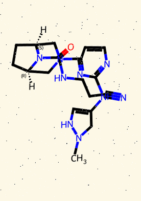 CN1CC(Nc2nccc(N3C[C@H]4CC[C@@H](C3)N4C(=O)NCCC#N)n2)=CN1